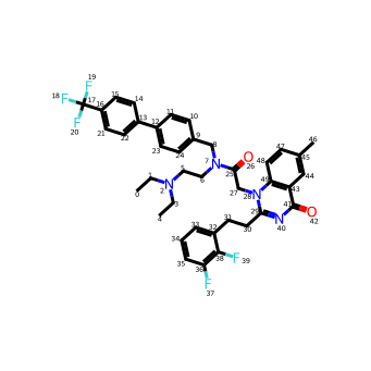 CCN(CC)CCN(Cc1ccc(-c2ccc(C(F)(F)F)cc2)cc1)C(=O)Cn1c(CCc2cccc(F)c2F)nc(=O)c2cc(C)ccc21